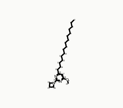 CCCCCCCCCCCCCCCCc1cc(OC)nc(N2CCC2)n1